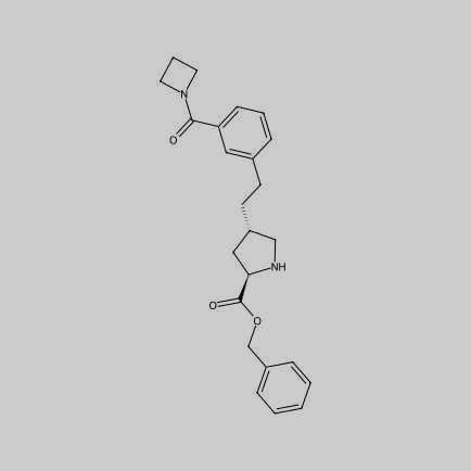 O=C(OCc1ccccc1)[C@H]1C[C@H](CCc2cccc(C(=O)N3CCC3)c2)CN1